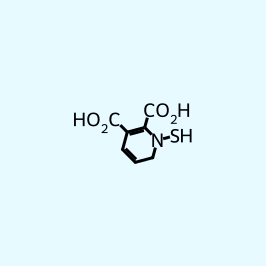 O=C(O)C1=C(C(=O)O)N(S)CC=C1